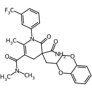 CC1=C(C(=O)N(C)C)CC(CC2COc3ccccc3O2)(C(N)=O)C(=O)N1c1cccc(C(F)(F)F)c1